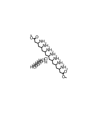 COC(=O)CC(N)CC(N)CC(N)CC(N)CC(N)CC(N)CC(N)CC(=O)OC.Cl.Cl.Cl.Cl.Cl.Cl.Cl